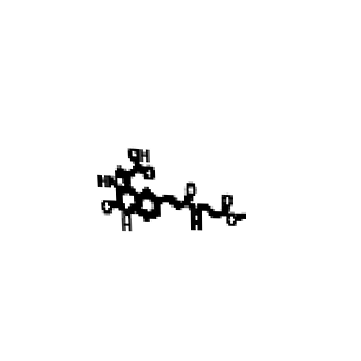 COC(=O)CCNC(=O)C=Cc1ccc2[nH]c(=O)c3[nH]cc(C(=O)O)c3c2c1